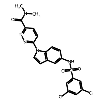 CN(C)C(=O)c1ccc(-n2ccc3cc(NS(=O)(=O)c4cc(Cl)cc(Cl)c4)ccc32)nn1